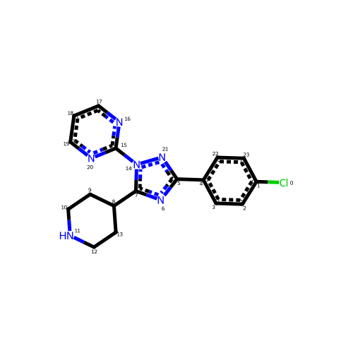 Clc1ccc(-c2nc(C3CCNCC3)n(-c3ncccn3)n2)cc1